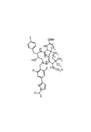 COC(=O)NC(C(=O)NC(Cc1ccc(I)cc1)C(O)CN(Cc1c(F)cc(-c2ccn(C(F)F)n2)cc1F)NC(=O)C(NC(=O)O)C(C)(C)C(F)(F)F)C(C)(C)C(F)(F)F